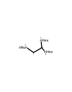 [CH2]CCCCCC(CCCCCC)CCCCCCCCCC